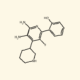 Nc1nc(-c2ccccc2O)c(F)c(C2CCCNC2)c1N